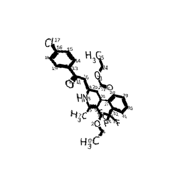 CCOC(=O)C1=C(C)N/C(=C\C(=O)c2ccc(Cl)cc2)[C@H](C(=O)OCC)[C@H]1c1ccccc1C(F)(F)F